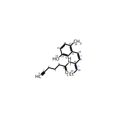 C#CCCCC(=O)NC(/C=C\c1cc(O)ccc1C)=C\CC